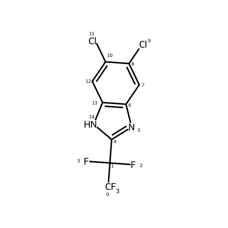 FC(F)(F)C(F)(F)c1nc2cc(Cl)c(Cl)cc2[nH]1